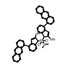 CCCC1=Cc2c(-c3cccc4cc5ccccc5cc34)cccc2[CH]1[Zr]([Cl])([Cl])([CH]1C(CCC)=Cc2c(-c3cccc4cc5ccccc5cc34)cccc21)=[Si](C)C